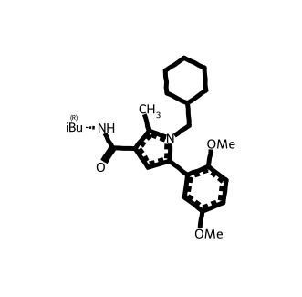 CC[C@@H](C)NC(=O)c1cc(-c2cc(OC)ccc2OC)n(CC2CCCCC2)c1C